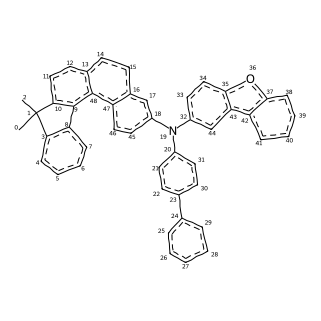 CC1(C)c2ccccc2-c2c1ccc1ccc3cc(N(c4ccc(-c5ccccc5)cc4)c4ccc5oc6ccccc6c5c4)ccc3c21